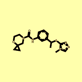 CC(Sc1nncn1C)c1cccc(NC(=O)N2CCOC3(CC3)C2)c1